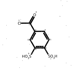 O=C(Cl)c1ccc(S(=O)(=O)O)c(S(=O)(=O)O)c1